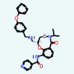 CC(C)N1CC[C@@H](CNCc2ccc(Oc3ccccc3)cc2)Oc2c(NC(=O)c3ccncc3)cccc2C1=O